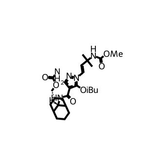 COC(=O)NC(C)(C)/C=C/n1ncc(C(=O)N[C@H]2C3CCCC2C[C@@H](COC(N)=O)C3)c1OCC(C)C